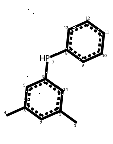 Cc1cc(C)cc(Pc2ccccc2)c1